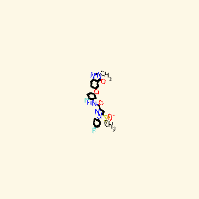 Cn1cnc2ccc(Oc3ccc(F)c(NC(=O)c4cc([S+](C)[O-])n(-c5ccc(F)cc5)n4)c3)cc2c1=O